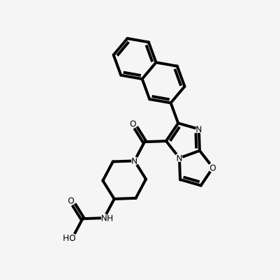 O=C(O)NC1CCN(C(=O)c2c(-c3ccc4ccccc4c3)nc3occn23)CC1